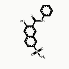 NS(=O)(=O)c1ccc2cc(O)c(C(=O)Nc3ccccc3)cc2c1